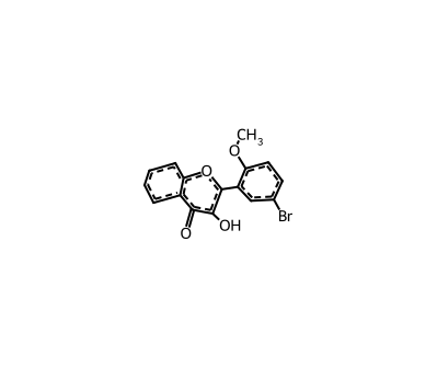 COc1ccc(Br)cc1-c1oc2ccccc2c(=O)c1O